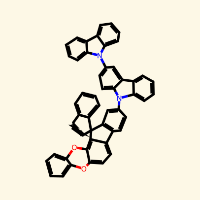 c1ccc2c(c1)Oc1ccc3c(c1O2)C1(c2ccccc2-c2ccccc21)c1cc(-n2c4ccccc4c4cc(-n5c6ccccc6c6ccccc65)ccc42)ccc1-3